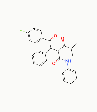 CC(C)C(=O)C(C(=O)NC1=CCCC=C1)C(C(=O)c1ccc(F)cc1)c1ccccc1